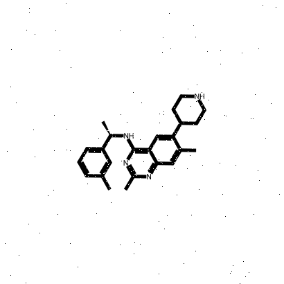 Cc1cccc([C@@H](C)Nc2nc(C)nc3cc(C)c(C4CCNCC4)cc23)c1